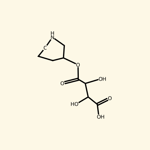 O=C(O)C(O)C(O)C(=O)OC1CCCNC1